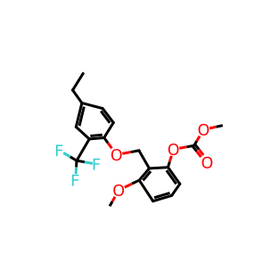 CCc1ccc(OCc2c(OC)cccc2OC(=O)OC)c(C(F)(F)F)c1